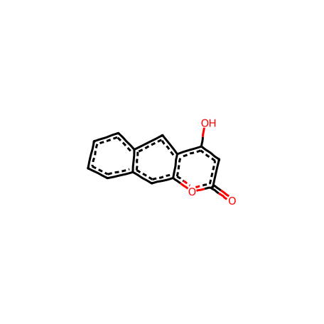 O=c1cc(O)c2cc3ccccc3cc2o1